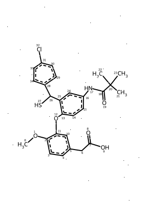 COc1ccc(CC(=O)O)cc1Oc1ccc(NC(=O)C(C)(C)C)cc1C(S)c1ccc(Cl)cc1